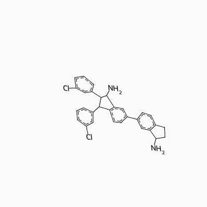 NC1CCc2ccc(-c3ccc4c(c3)C(N)C(c3cccc(Cl)c3)C4c3cccc(Cl)c3)cc21